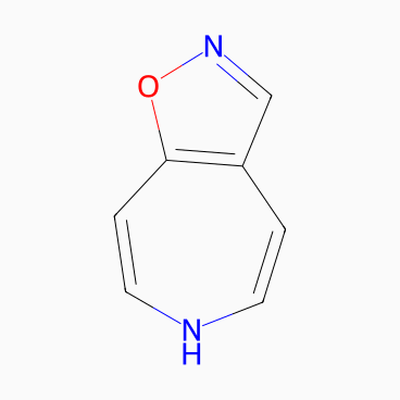 C1=Cc2cnoc2C=CN1